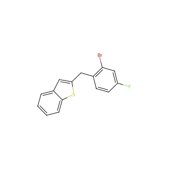 Fc1ccc(Cc2cc3ccccc3s2)c(Br)c1